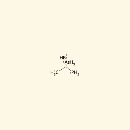 Br.CCP.[AsH3]